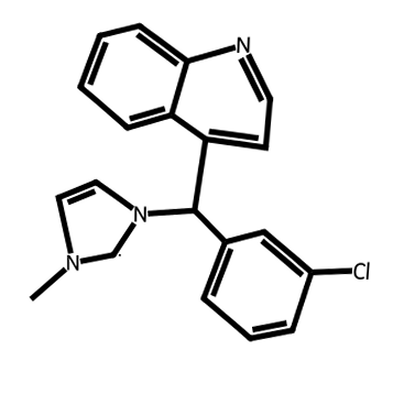 CN1[CH]N(C(c2cccc(Cl)c2)c2ccnc3ccccc23)C=C1